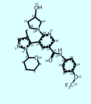 Cc1cnn(C2CCCCO2)c1-c1cc(C(=O)Nc2ccc(OC(F)(F)F)cc2)cnc1N1CCC(O)C1